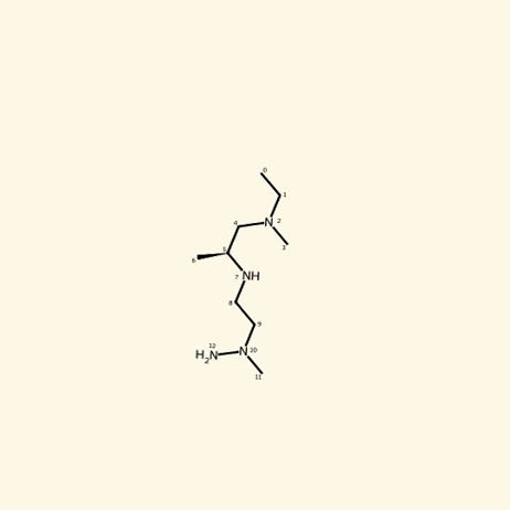 CCN(C)C[C@H](C)NCCN(C)N